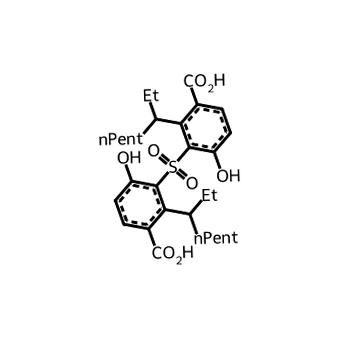 CCCCCC(CC)c1c(C(=O)O)ccc(O)c1S(=O)(=O)c1c(O)ccc(C(=O)O)c1C(CC)CCCCC